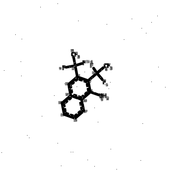 Bc1c(C(F)(F)C(F)(F)F)c(C(F)(F)C(F)(F)F)cc2ccccc12